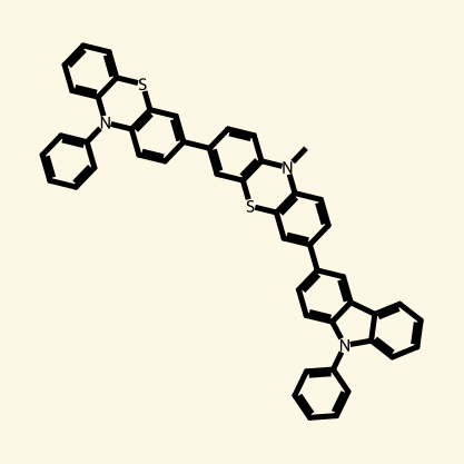 CN1c2ccc(-c3ccc4c(c3)Sc3ccccc3N4c3ccccc3)cc2Sc2cc(-c3ccc4c(c3)c3ccccc3n4-c3ccccc3)ccc21